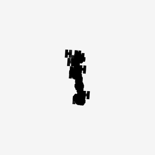 Cc1cc(NCCNc2ncnc3cc(OCC4CCN(CCNc5ccnc6ccccc56)CC4)ccc23)nc(N)n1